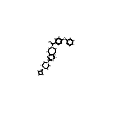 O=C(c1ccc(Oc2ccccc2)cc1)N1CCc2cnc(N3CCN(C4CCC4)CC3)nc2CC1